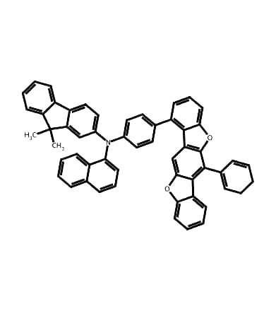 CC1(C)c2ccccc2-c2ccc(N(c3ccc(-c4cccc5oc6c(C7=CCCC=C7)c7c(cc6c45)oc4ccccc47)cc3)c3cccc4ccccc34)cc21